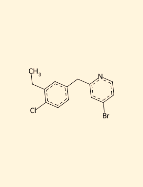 CCc1cc(Cc2cc(Br)ccn2)ccc1Cl